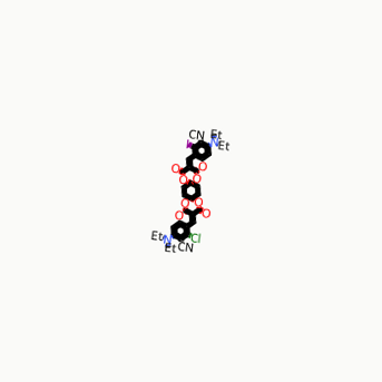 CCN(CC)c1ccc(C=C2C(=O)OC3(CCC4(CC3)OC(=O)C(=Cc3ccc(N(CC)CC)c(C#N)c3I)C(=O)O4)OC2=O)c(Cl)c1C#N